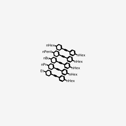 CCCCCCc1ccc(C#CC2=CCC(CC)CC2)cc1.CCCCCCc1ccc(C#CC2=CCC(CCC)CC2)cc1.CCCCCCc1ccc(C#CC2=CCC(CCCC)CC2)cc1.CCCCCCc1ccc(C#CC2=CCC(CCCCC)CC2)cc1.CCCCCCc1ccc(C#CC2=CCC(CCCCCC)CC2)cc1